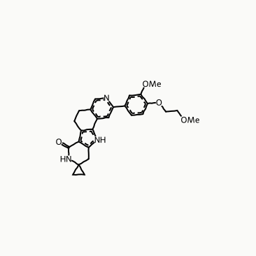 COCCOc1ccc(-c2cc3c(cn2)CCc2c-3[nH]c3c2C(=O)NC2(CC2)C3)cc1OC